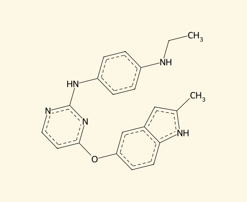 CCNc1ccc(Nc2nccc(Oc3ccc4[nH]c(C)cc4c3)n2)cc1